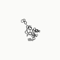 COC(=O)c1cnc(OCCOC2CCCCO2)c(F)c1-c1c(Cl)c(F)cc2c1C[C@](c1ccccc1)([C@@H]1CCCN1C(=O)OC(C)(C)C)O2